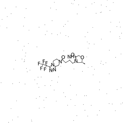 C[C@H]1CN(C[C@@H](N)CC(=O)N2CCn3c(nnc3C(F)(F)C(F)(F)F)C2)C(=O)CO1